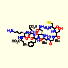 CC[C@H](C)[C@H](NC(=O)[C@H](CO)NC(=O)[C@@H](N)CS)C(=O)N[C@H](C(=O)N[C@@H](CC(N)=O)C(=O)N[C@@H](Cc1ccccc1)C(=O)N[C@@H](CCC(=O)O)C(=O)N[C@@H](CCCCN)C(=O)N[C@@H](CC(C)C)C(=O)O)[C@@H](C)CC